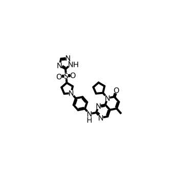 Cc1cc(=O)n(C2CCCC2)c2nc(Nc3ccc(N4CCC(S(=O)(=O)c5ncn[nH]5)C4)cc3)ncc12